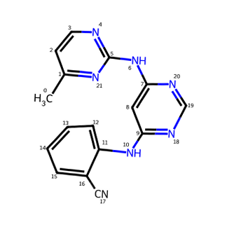 Cc1ccnc(Nc2cc(Nc3ccccc3C#N)ncn2)n1